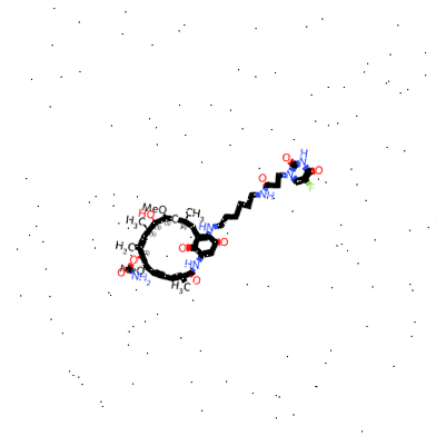 CO[C@H]1C=CC=C(C)C(=O)NC2=CC(=O)C(NCCCCCCNC(=O)CCn3cc(F)c(=O)[nH]c3=O)=C(C[C@@H](C)C[C@H](OC)[C@@H](O)[C@@H](C)C=C(C)[C@@H]1OC(N)=O)C2=O